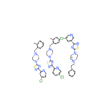 Cc1ccccc1CN1CCN(c2nc(-c3cc(Cl)ccn3)ns2)CC1.Cc1ccccc1CN1CCN(c2nc(-c3ccc(Cl)cn3)ns2)CC1.Clc1cncc(-c2nsc(N3CCN(CCc4ccccc4)CC3)n2)c1